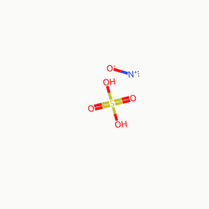 O=S(=O)(O)O.[N+][O-]